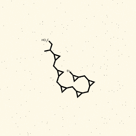 CCC1CC1CC1CC1CC1CC1CC1CC1CC1CC1CC1CC1C(C)CC(=O)O